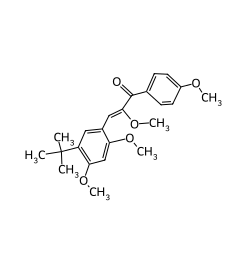 COC(=Cc1cc(C(C)(C)C)c(OC)cc1OC)C(=O)c1ccc(OC)cc1